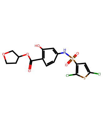 O=C(OC1CCOC1)c1ccc(NS(=O)(=O)c2cc(Cl)sc2Cl)cc1O